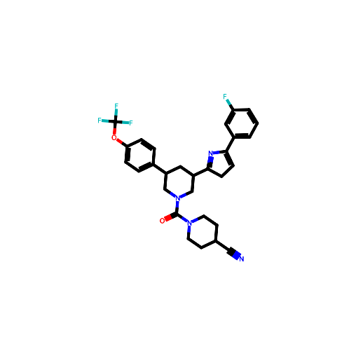 N#CC1CCN(C(=O)N2CC(C3=NC(c4cccc(F)c4)=CC3)CC(c3ccc(OC(F)(F)F)cc3)C2)CC1